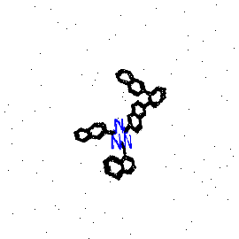 c1ccc(-c2ccc3cc(-c4nc(-c5ccc6ccccc6c5)nc(-c5cccc6ccccc56)n4)ccc3c2)c(-c2ccc3ccccc3c2)c1